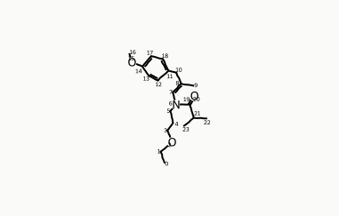 CCOCCCN(C=C(C)Cc1ccc(OC)cc1)C(=O)C(C)C